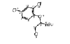 CCCCC(CCl)Oc1ccc(Cl)cc1Cl